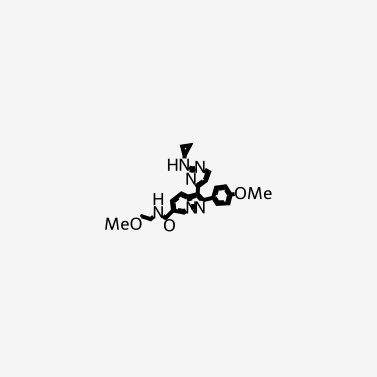 COCCNC(=O)c1ccc2c(-c3ccnc(NC4CC4)n3)c(-c3ccc(OC)cc3)nn2c1